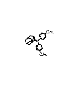 CC(=O)Oc1ccc(C(=C2C3CC4CC(C3)CC2C4)c2ccc(OC(C)=O)cc2)cc1